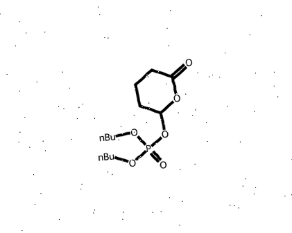 CCCCOP(=O)(OCCCC)OC1CCCC(=O)O1